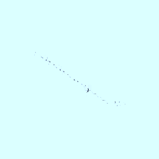 COCCCCCCCCC(=O)NCCOCCOCCOCCOCCOCCOCC(C)=O